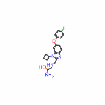 NC(O)CNCc1nc2ccc(Oc3ccc(F)cc3)cc2n1C1CCC1